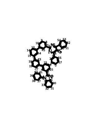 c1ccc(-c2nc(-c3cccc(-c4cccc(-c5cccc(-c6cccc(-c7nc8ccccc8n7-c7ccccc7)c6)c5)c4)c3)nc3c2sc2ccccc23)cc1